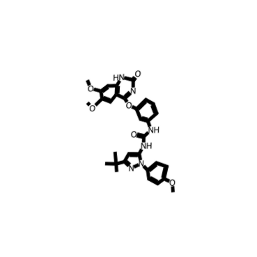 COc1ccc(-n2nc(C(C)(C)C)cc2NC(=O)Nc2cccc(Oc3nc(=O)[nH]c4cc(OC)c(OC)cc34)c2)cc1